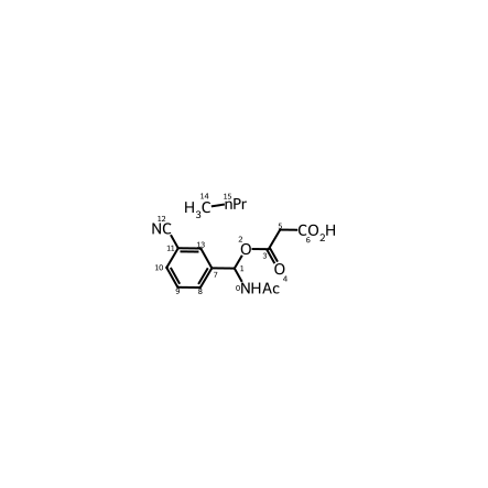 CC(=O)NC(OC(=O)CC(=O)O)c1cccc(C#N)c1.CCCC